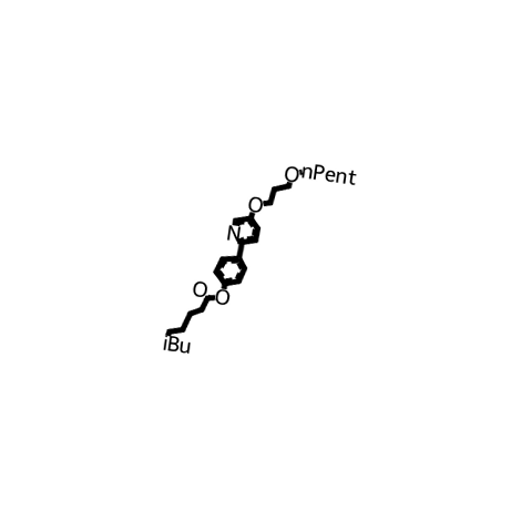 CCCCCOCCCOc1ccc(-c2ccc(OC(=O)CCCCC(C)CC)cc2)nc1